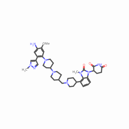 COc1cc(N2CCC(N3CCC(CN4CCC(c5cccc6c5n(C)c(=O)n6C5CCC(=O)NC5=O)CC4)CC3)CC2)c(-c2cnn(C)c2)cc1N